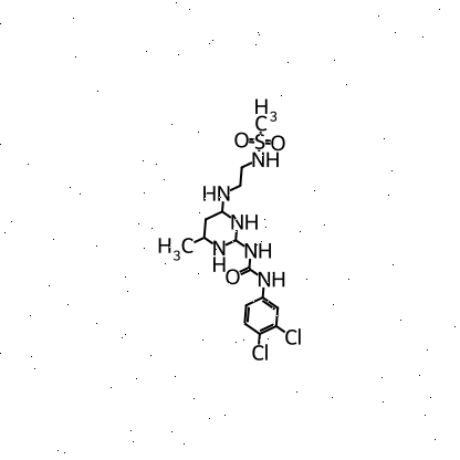 CC1CC(NCCNS(C)(=O)=O)NC(NC(=O)Nc2ccc(Cl)c(Cl)c2)N1